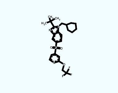 CC(C)(C)c1nc2cc(S(=O)(=O)c3ccnc(OCC(F)(F)F)c3)ccc2n1CC1CCCCC1